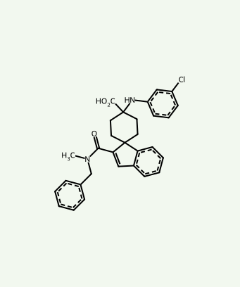 CN(Cc1ccccc1)C(=O)C1=Cc2ccccc2C12CCC(Nc1cccc(Cl)c1)(C(=O)O)CC2